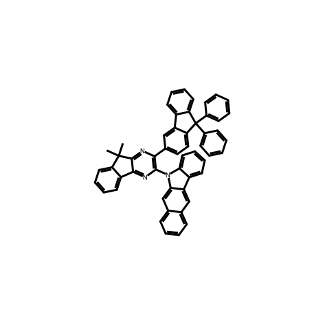 CC1(C)c2ccccc2-c2nc(-n3c4ccccc4c4cc5ccccc5cc43)c(-c3ccc4c(c3)-c3ccccc3C4(c3ccccc3)c3ccccc3)nc21